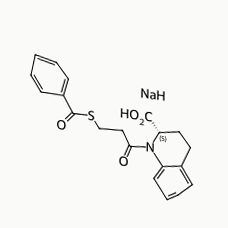 O=C(SCCC(=O)N1c2ccccc2CC[C@H]1C(=O)O)c1ccccc1.[NaH]